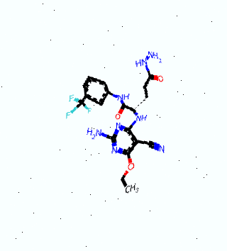 CCOc1nc(N)nc(N[C@@H](CCC(=O)NN)C(=O)Nc2cccc(C(F)(F)F)c2)c1C#N